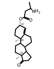 CC(N)CC(=O)O[C@@H]1C=C2CCC3C(CC[C@]4(C)C(=O)CCC34)[C@@]2(C)CC1